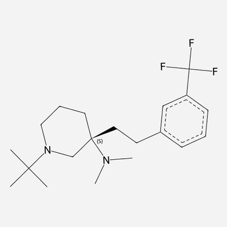 CN(C)[C@@]1(CCc2cccc(C(F)(F)F)c2)CCCN(C(C)(C)C)C1